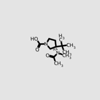 CC(=O)N(C)[C@@]1(C(C)(C)C)CCN(C(=O)O)C1